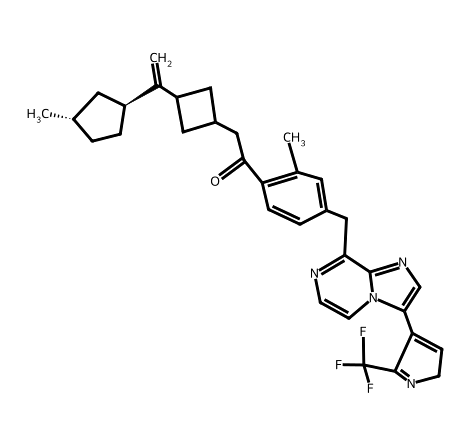 C=C(C1CC(CC(=O)c2ccc(Cc3nccn4c(C5=CCN=C5C(F)(F)F)cnc34)cc2C)C1)[C@H]1CC[C@H](C)C1